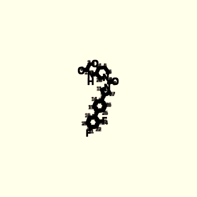 O=C1COC2CCN(C(=O)N3CC(c4ccc(-c5ccc(F)cc5F)cc4)C3)CC2N1